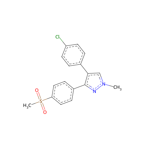 Cn1cc(-c2ccc(Cl)cc2)c(-c2ccc(S(C)(=O)=O)cc2)n1